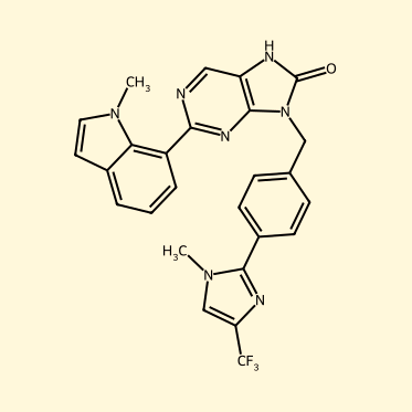 Cn1cc(C(F)(F)F)nc1-c1ccc(Cn2c(=O)[nH]c3cnc(-c4cccc5ccn(C)c45)nc32)cc1